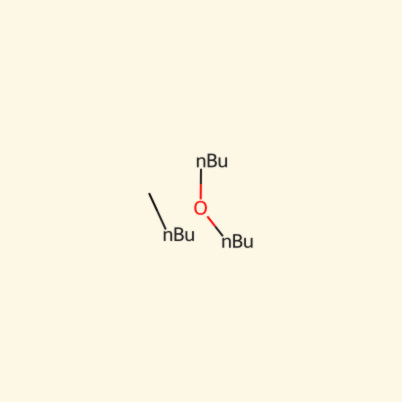 CCCCC.CCCCOCCCC